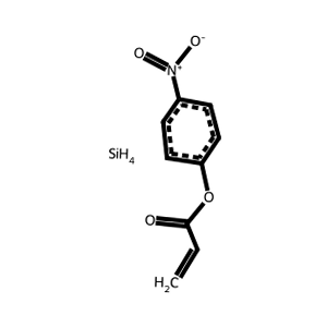 C=CC(=O)Oc1ccc([N+](=O)[O-])cc1.[SiH4]